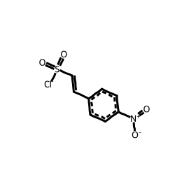 O=[N+]([O-])c1ccc(C=CS(=O)(=O)Cl)cc1